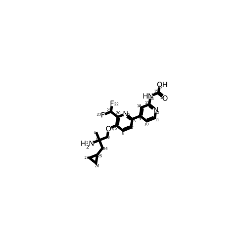 CC(N)(COc1ccc(-c2ccnc(NC(=O)O)c2)nc1C(F)F)CC1CC1